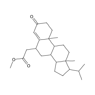 COC(=O)CC1CC2C(CCC3(C)C(C(C)C)CCC23)C2(C)CCC(=O)C=C12